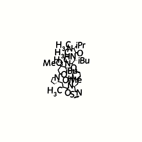 CC[C@H](C)[C@@H]([C@@H](CC(=O)N1CCC[C@H]1[C@H](OC)[C@@H](C)C(=O)N[C@@H](Cc1ccccc1)c1nccs1)OC)N(C)C(=O)[C@@H](NC(=O)[C@H](C(C)C)N(C)C)[C@@H](C)CC